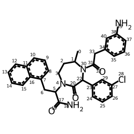 CC1CCN(C(Cc2cccc3ccccc23)C(N)=O)C(=O)C(c2cccc(Cl)c2)N1C(=O)Cc1cccc(N)c1